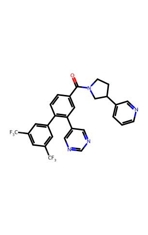 O=C(c1ccc(-c2cc(C(F)(F)F)cc(C(F)(F)F)c2)c(-c2cncnc2)c1)N1CCC(c2cccnc2)C1